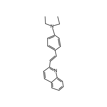 CCN(CC)c1ccc(C=Cc2ccc3ccccc3n2)cc1